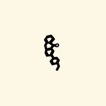 CCc1ccc(-c2ccc3c(c2)C(=O)c2ccccc2C3)cc1